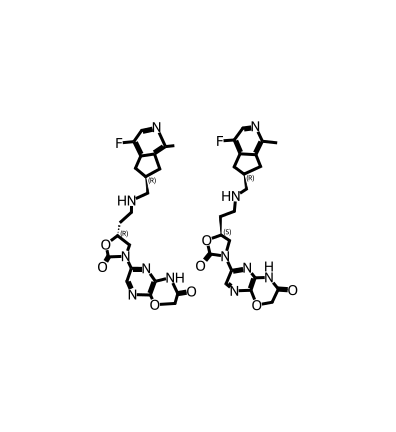 Cc1ncc(F)c2c1C[C@@H](CNCC[C@@H]1CN(c3cnc4c(n3)NC(=O)CO4)C(=O)O1)C2.Cc1ncc(F)c2c1C[C@@H](CNCC[C@H]1CN(c3cnc4c(n3)NC(=O)CO4)C(=O)O1)C2